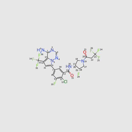 Nc1ncnn2c(-c3cc(F)c(Cl)c(C(=O)N[C@@H]4CN(C(=O)CC(F)(F)F)C[C@@H]4F)c3)cc(C(F)(F)F)c12